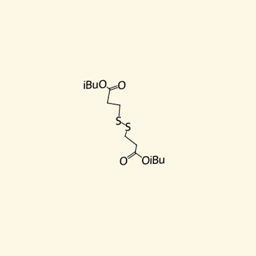 CC(C)COC(=O)CCSSCCC(=O)OCC(C)C